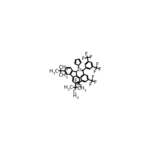 CC(C)(C)c1ccc2c(c1)-c1cc(C(C)(C)C)ccc1[CH]2[Zr](=[C](c1cc(C(F)(F)F)cc(C(F)(F)F)c1)c1cc(C(F)(F)F)cc(C(F)(F)F)c1)[CH]1C=CC=C1